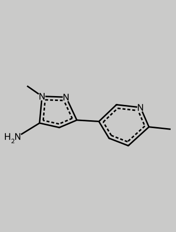 Cc1ccc(-c2cc(N)n(C)n2)cn1